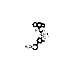 CN1CCCC(c2ccc([S@](N)(=O)=NC(=O)Nc3c4c(cc5c3CC5)CCC4)c(F)c2)C1